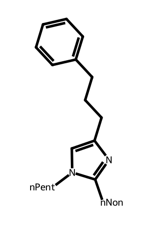 CCCCCCCCCc1nc(CCCc2ccccc2)cn1CCCCC